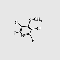 CSc1c(Cl)c(F)nc(F)c1Cl